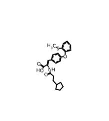 CSc1ccccc1Oc1ccc(/C=C(\NC(=O)CCC2CCCC2)C(=O)O)cc1